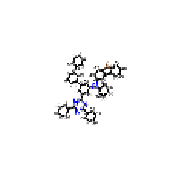 c1ccc(-c2cccc(-c3cc(-c4nc(-c5ccccc5)nc(-c5ccccc5)n4)cc(-n4c5ccccc5c5c6c(ccc54)sc4ccccc46)c3)c2)cc1